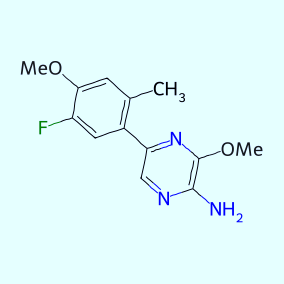 COc1cc(C)c(-c2cnc(N)c(OC)n2)cc1F